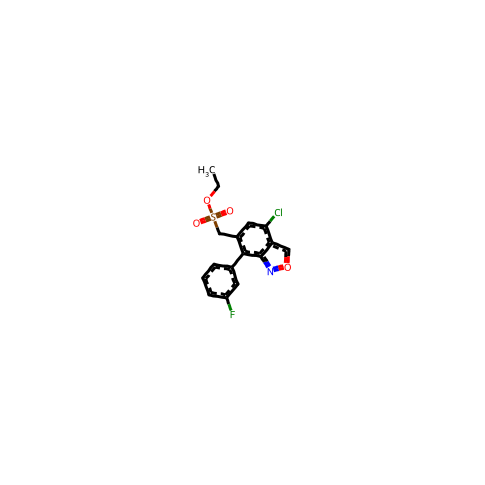 CCOS(=O)(=O)Cc1cc(Cl)c2conc2c1-c1cccc(F)c1